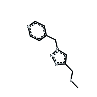 CSCc1cn(Cc2ccncc2)nn1